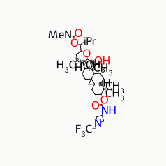 CNC(=O)OC(C(C)C)C1C[C@@H](C)[C@H]2C(O1)[C@H](O)[C@@]1(C)C3CC[C@H]4C(C)(C)C(OC(=O)NC5CN(CC(F)(F)F)C5)CCC45CC35CCC21C